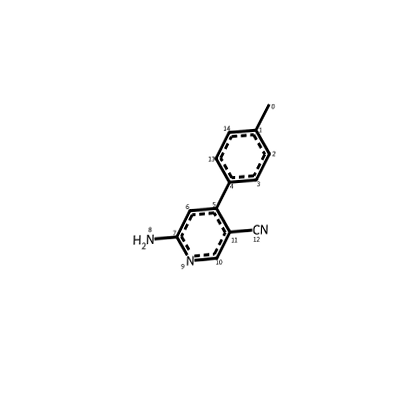 Cc1ccc(-c2cc(N)ncc2C#N)cc1